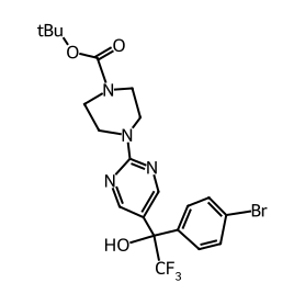 CC(C)(C)OC(=O)N1CCN(c2ncc(C(O)(c3ccc(Br)cc3)C(F)(F)F)cn2)CC1